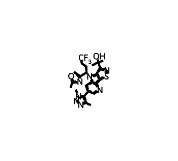 Cc1nc(C(CCC(F)(F)F)n2c3cc(-c4c(C)nnn4C)cnc3c3snc(C(C)(C)O)c32)co1